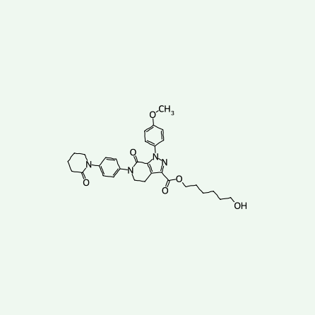 COc1ccc(-n2nc(C(=O)OCCCCCCO)c3c2C(=O)N(c2ccc(N4CCCCC4=O)cc2)CC3)cc1